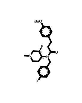 CC(C)COc1ccc(CCC(=O)N(Cc2ccc(F)cc2)[C@H]2CCN(C)C[C@H]2F)cc1